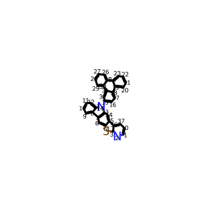 c1cnc2sc3cc4c5ccccc5n(-c5ccc6c7ccccc7c7ccccc7c6c5)c4cc3c2c1